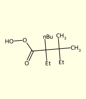 CCCCC(CC)(C(=O)OO)C(C)(C)CC